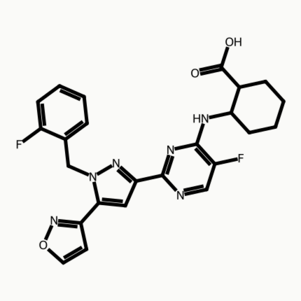 O=C(O)C1CCCCC1Nc1nc(-c2cc(-c3ccon3)n(Cc3ccccc3F)n2)ncc1F